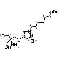 CCCCCCCCCCCCCCCCn1cc(CCC(N)(CO)CO)nn1.Cl